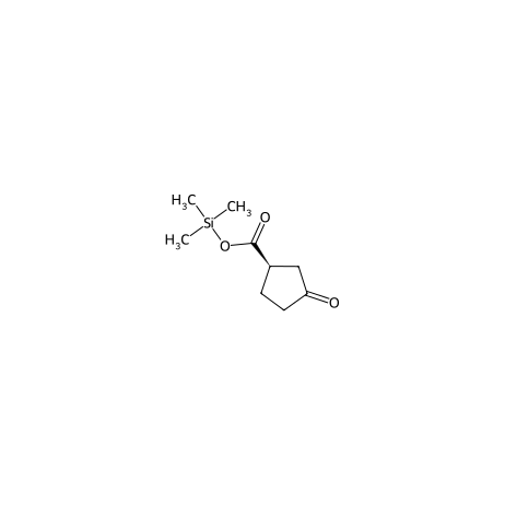 C[Si](C)(C)OC(=O)[C@@H]1CCC(=O)C1